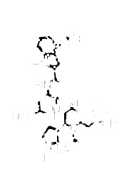 [CH2]C(=O)[C@@H](NC(=O)[C@H](CC(C)C)NC(=O)c1cc2c(OC)cccc2[nH]1)C([C@@H]1CCNC1=O)N(CCN(C)C)C(=O)O